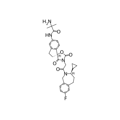 CC(C)(N)C(=O)Nc1ccc2c(c1)CC[C@@]21OC(=O)N(CC(=O)N2Cc3ccc(F)cc3CC[C@@H]2C2CC2)C1=O